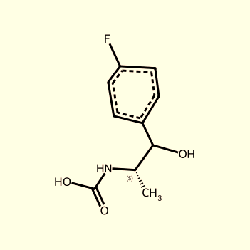 C[C@H](NC(=O)O)C(O)c1ccc(F)cc1